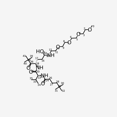 COCCOCCOCCOCCNC(O)CC[C@H](NC(=O)[C@@H](NC(=O)CCCC(C)(C)C)C(C)C)C(=O)C(C)(C)C